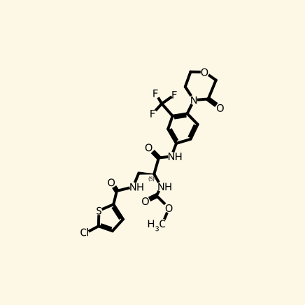 COC(=O)N[C@@H](CNC(=O)c1ccc(Cl)s1)C(=O)Nc1ccc(N2CCOCC2=O)c(C(F)(F)F)c1